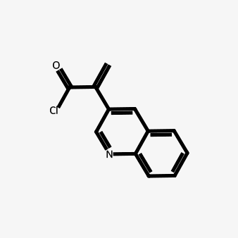 C=C(C(=O)Cl)c1cnc2ccccc2c1